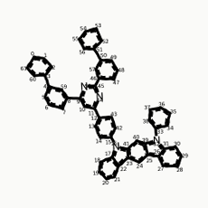 c1ccc(-c2cccc(-c3cc(-c4ccc(-n5c6ccccc6c6cc7c8ccccc8n(-c8ccccc8)c7cc65)cc4)nc(-c4cccc(-c5ccccc5)c4)n3)c2)cc1